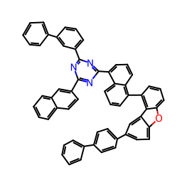 c1ccc(-c2ccc(-c3ccc4oc5cccc(-c6cccc7c(-c8nc(-c9cccc(-c%10ccccc%10)c9)nc(-c9ccc%10ccccc%10c9)n8)cccc67)c5c4c3)cc2)cc1